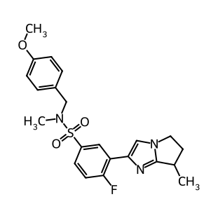 COc1ccc(CN(C)S(=O)(=O)c2ccc(F)c(-c3cn4c(n3)C(C)CC4)c2)cc1